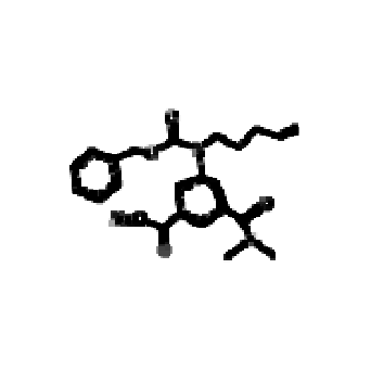 C=CCCCN(C(=O)OCc1ccccc1)c1cc(C(=O)OC)cc(C(=O)N(C)C)c1